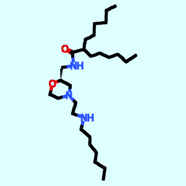 CCCCCCCNCCN1CCO[C@H](CNC(=O)C(CCCCCC)CCCCCC)C1